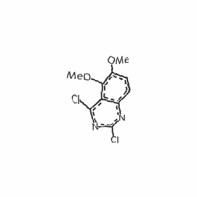 COc1ccc2nc(Cl)nc(Cl)c2c1OC